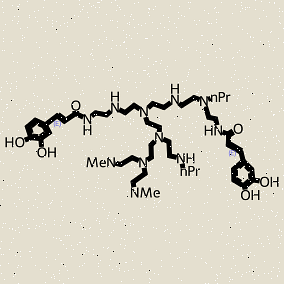 CCCNCCN(CCN(CCNC)CCNC)CCN(CCNCCNC(=O)/C=C/c1ccc(O)c(O)c1)CCNCCN(CCC)CCNC(=O)/C=C/c1ccc(O)c(O)c1